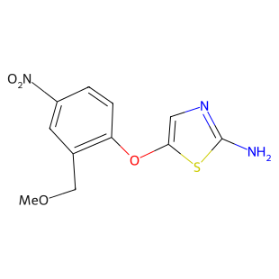 COCc1cc([N+](=O)[O-])ccc1Oc1cnc(N)s1